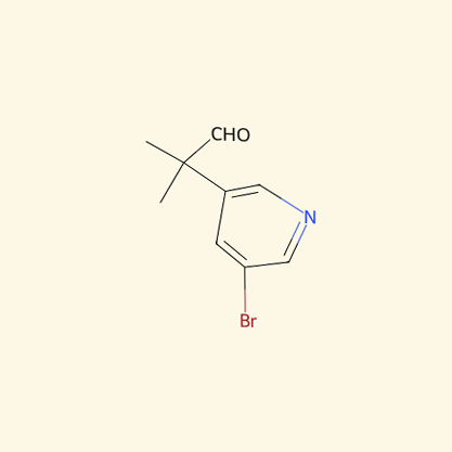 CC(C)(C=O)c1cncc(Br)c1